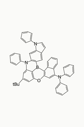 CC(C)(C)c1cc2c3c(c1)N(c1ccccc1)c1cc4c(ccn4-c4ccccc4)cc1B3c1c(cc(N(c3ccccc3)c3ccccc3)c3ccccc13)O2